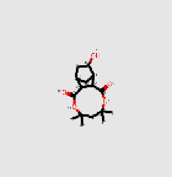 CC1(C)CC(C)(C)OC(=O)C2C3CC(CC3O)C2C(=O)O1